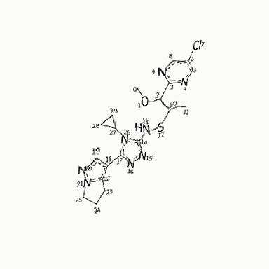 COC(c1ncc(Cl)cn1)C(C)SNc1nnc(-c2cnn3c2CCC3)n1C1CC1